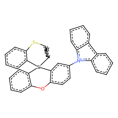 c1ccc2c(c1)Oc1ccc(-n3c4ccccc4c4ccccc43)cc1[Si]21c2ccccc2Sc2ccccc21